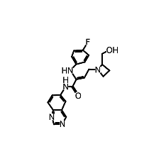 O=C(Nc1ccc2ncncc2c1)C(=CCN1CCC1CO)Nc1ccc(F)cc1